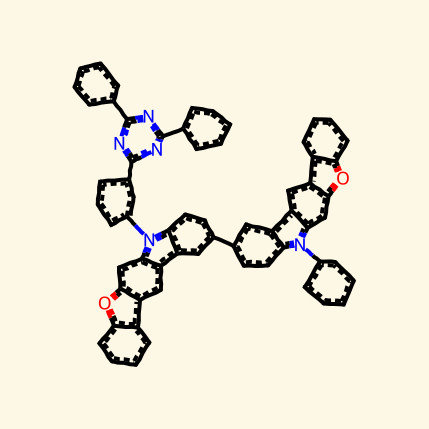 c1ccc(-c2nc(-c3ccccc3)nc(-c3cccc(-n4c5ccc(-c6ccc7c(c6)c6cc8c(cc6n7-c6ccccc6)oc6ccccc68)cc5c5cc6c(cc54)oc4ccccc46)c3)n2)cc1